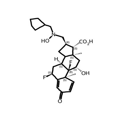 C[C@]12C[C@H](O)[C@@]3(F)[C@@H](C[C@H](F)C4=CC(=O)C=C[C@@]43C)C1C[C@@H](CN(O)CC1CCCC1)[C@@H]2C(=O)O